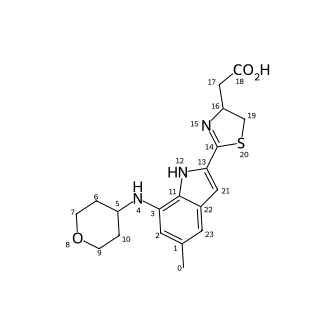 Cc1cc(NC2CCOCC2)c2[nH]c(C3=NC(CC(=O)O)CS3)cc2c1